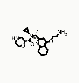 C[C@H](c1cc(OCCN)c2c(n1)CCCC2)N(C(=O)[C@H]1CNCCO1)C1CC1